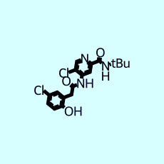 CC(C)(C)NC(=O)c1cc(NC(=O)Cc2cc(Cl)ccc2O)c(Cl)cn1